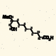 COC(CO)CCCCCCCCC(=O)O